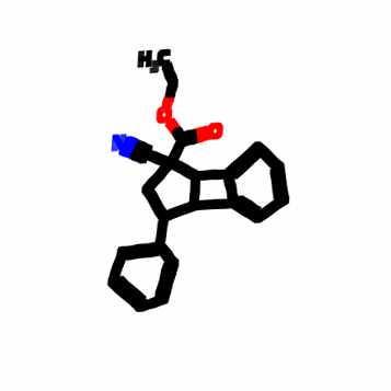 CCOC(=O)C1(C#N)CC(c2ccccc2)C2c3ccccc3C21